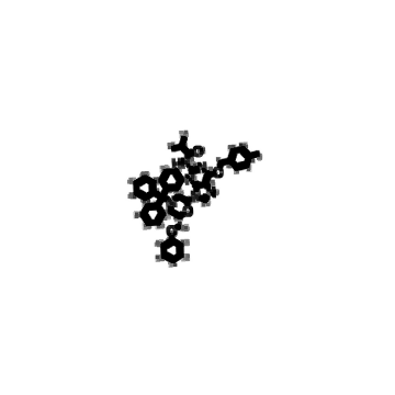 Cc1ccc(COc2nc(NC(=O)C(C)C)nc3c2ncn3[C@H]2CN(C(c3ccccc3)(c3ccccc3)c3ccccc3)C[C@@H](COc3ccccc3)O2)cc1